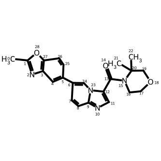 Cc1nc2cc(-c3ccc4ncc(C(=O)N5CCOCC5(C)C)n4c3)ccc2o1